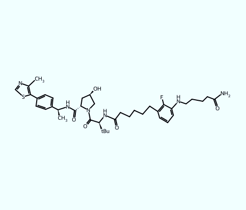 Cc1ncsc1-c1ccc([C@H](C)NC(=O)[C@@H]2C[C@@H](O)CN2C(=O)[C@@H](NC(=O)CCCCCc2cccc(NCCCCC(N)=O)c2F)C(C)(C)C)cc1